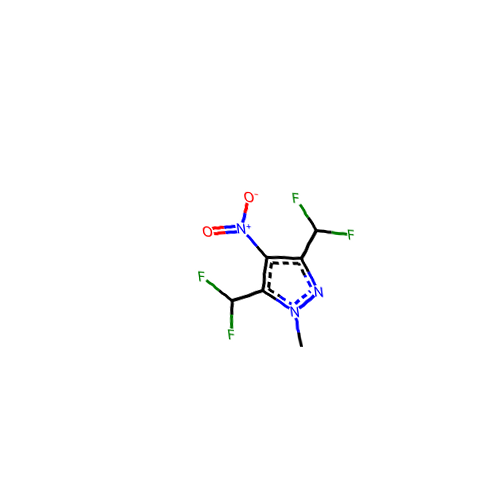 Cn1nc(C(F)F)c([N+](=O)[O-])c1C(F)F